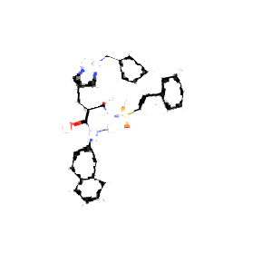 CCN(C(=O)C(Cc1cnn(Cc2ccccc2)c1)C(=O)NS(=O)(=O)/C=C/c1ccccc1)c1ccc2ccccc2c1